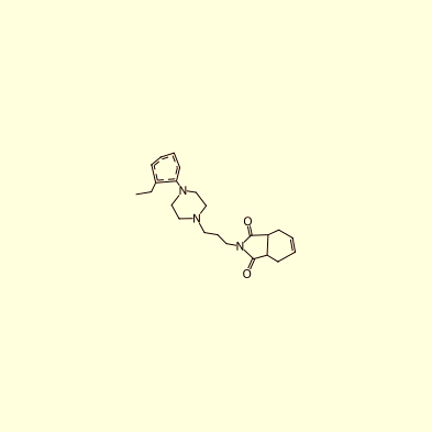 CCc1ccccc1N1CCN(CCCN2C(=O)C3CC=CCC3C2=O)CC1